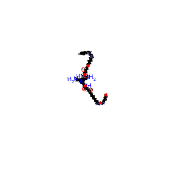 CCCCC/C=C\C/C=C\CCCCCCCCC(=O)CCC(=O)NCCC[N+](CCCN)(CCCN)CCNC(=O)CCC(=O)CCCCCCCC/C=C\C/C=C\CCCCC